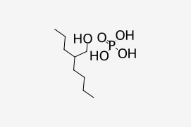 CCCCC(CO)CCC.O=P(O)(O)O